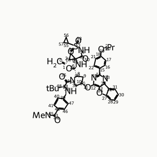 C=C[C@@H]1C[C@]1(NC(=O)[C@@H]1C[C@@H](Oc2nc(-c3ccc(OC(C)C)cc3)nc3c2oc2ccccc23)CN1C(=O)[C@@H](Nc1ccc(C(=O)NC)cc1)C(C)(C)C)C(=O)NS(=O)(=O)C1CC1